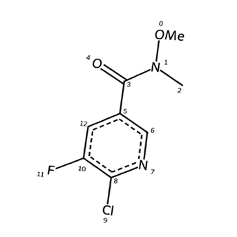 CON(C)C(=O)c1cnc(Cl)c(F)c1